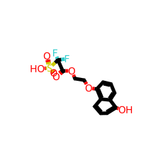 O=C(OCCOc1cccc2c(O)cccc12)C(F)(F)S(=O)(=O)O